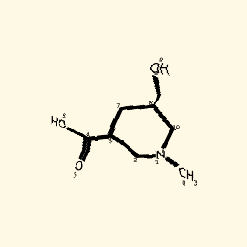 CN1CC(C(=O)O)C[C@@H](O)C1